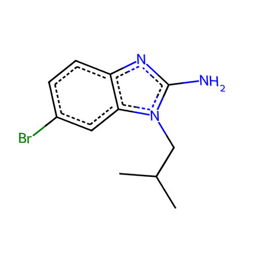 CC(C)Cn1c(N)nc2ccc(Br)cc21